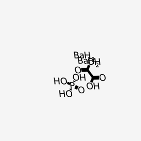 O=C(O)C(=O)O.O=P(O)(O)O.[BaH2].[BaH2]